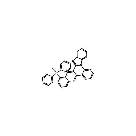 O=P(c1ccccc1)(c1ccccc1)c1cccc2nc3c4ccccc4n4c5ccccc5nc4c3cc12